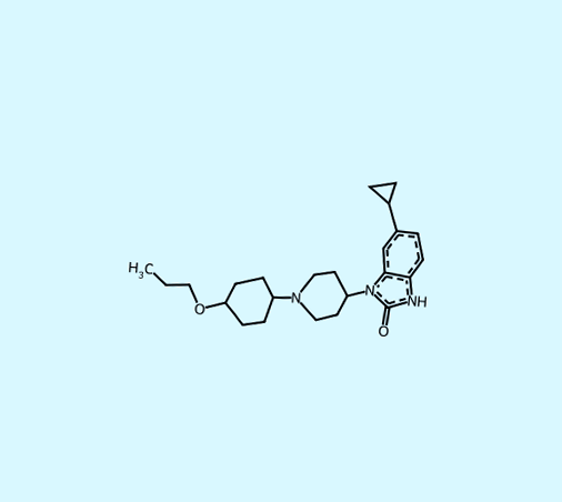 CCCOC1CCC(N2CCC(n3c(=O)[nH]c4ccc(C5CC5)cc43)CC2)CC1